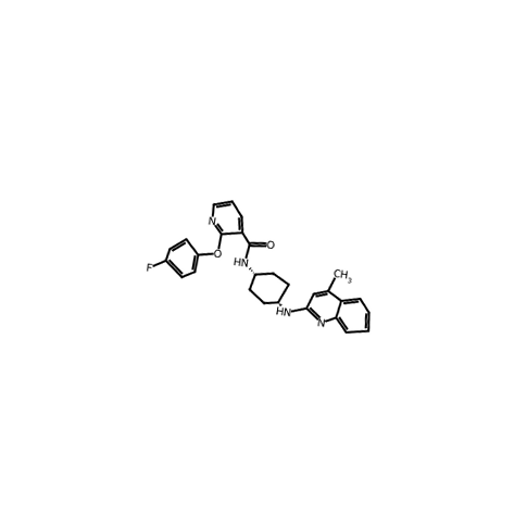 Cc1cc(N[C@H]2CC[C@@H](NC(=O)c3cccnc3Oc3ccc(F)cc3)CC2)nc2ccccc12